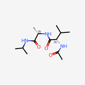 CC(=O)N[C@H](C(=O)N[C@@H](C)C(=O)NC(C)C)C(C)C